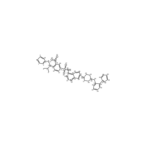 CC(C)N(Sc1ccccc1)c1ccc(S(=O)(=O)Nc2ncnc3cc(N4CCN(Cc5ccccc5-c5ccccc5)CC4)ccc23)cc1[N+](=O)[O-]